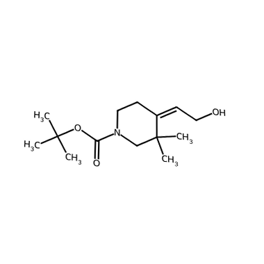 CC(C)(C)OC(=O)N1CCC(=CCO)C(C)(C)C1